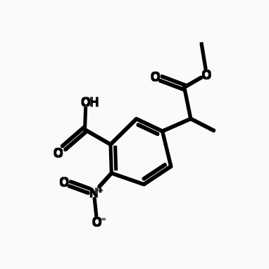 COC(=O)C(C)c1ccc([N+](=O)[O-])c(C(=O)O)c1